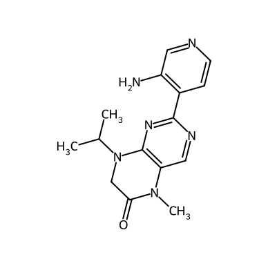 CC(C)N1CC(=O)N(C)c2cnc(-c3ccncc3N)nc21